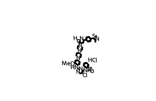 COc1cc(N2CCC(N3CCN(C(=O)CC(N)c4ccc(-c5scnc5C)cc4)CC3)CC2)ccc1Nc1ncc(Cl)c(Nc2ccccc2P(C)(C)=O)n1.Cl